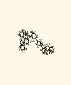 c1cc(-c2ccc(-c3ccnc4c3ccc3cccnc34)nc2)cc(-c2nc3ccccc3c3c2ccc2c4ccccc4oc23)c1